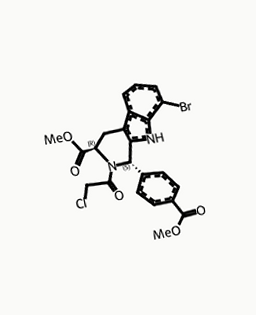 COC(=O)c1ccc([C@H]2c3[nH]c4c(Br)cccc4c3C[C@H](C(=O)OC)N2C(=O)CCl)cc1